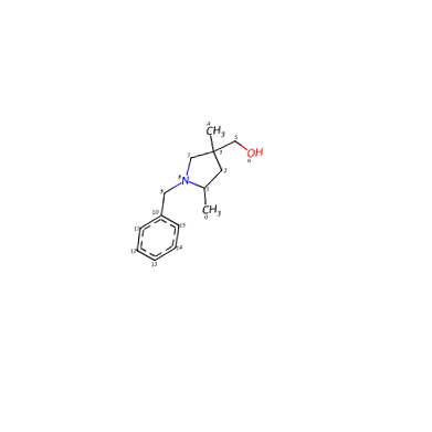 CC1CC(C)(CO)CN1Cc1ccccc1